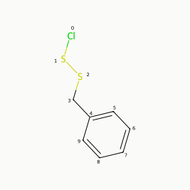 ClSSCc1ccccc1